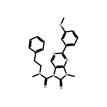 COc1cccc(-c2ncc3c(n2)n(C)c(=O)n3C(=O)N(C)CCc2ccccc2)c1